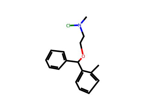 Cc1ccccc1C(OCCN(C)Cl)c1ccccc1